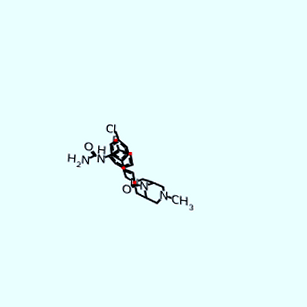 CN1CC2CN(Cc3ccc(F)cc3)CC(C1)N2C(=O)C=Cc1ccc(Cl)cc1NC(N)=O